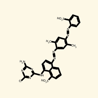 Cc1cc(/N=N/c2ccc(Nc3nc(N)nc(Cl)n3)c3c(S(=O)(=O)O)cccc23)c(C)cc1/N=N/c1ccccc1S(=O)(=O)O